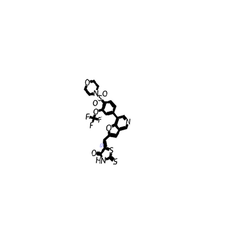 O=C1NC(=S)S/C1=C\c1cc2cncc(-c3ccc(S(=O)(=O)N4CCOCC4)c(OC(F)(F)F)c3)c2o1